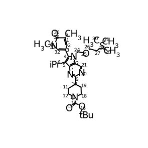 Cc1cc(-c2c(C(C)C)c3nc(C4CCN(C(=O)OC(C)(C)C)CC4)ncc3n2COCCS(C)(C)C)cn(C)c1=O